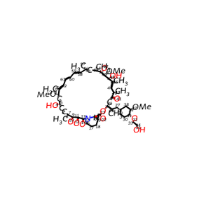 CO[C@H]1C[C@@H](O)CC[C@@H](C)C(=O)C(=O)C(=O)N2CCCC[C@H]2C(=O)O[C@H]([C@H](C)C[C@@H]2CC[C@@H](OCCO)[C@H](OC)C2)CC(=O)[C@H](C)/C=C(\C)[C@@H](O)[C@@H](OC)C(=O)[C@H](C)C[C@H](C)/C=C/C=C/C=C/1C